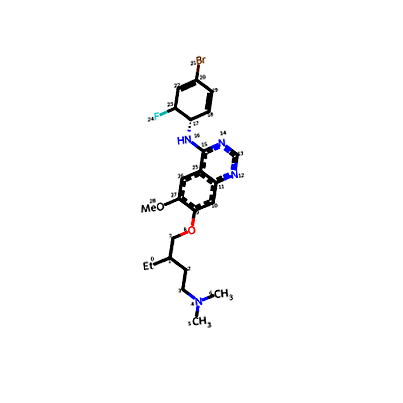 CCC(CCN(C)C)COc1cc2ncnc(N[C@H]3C=CC(Br)=CC3F)c2cc1OC